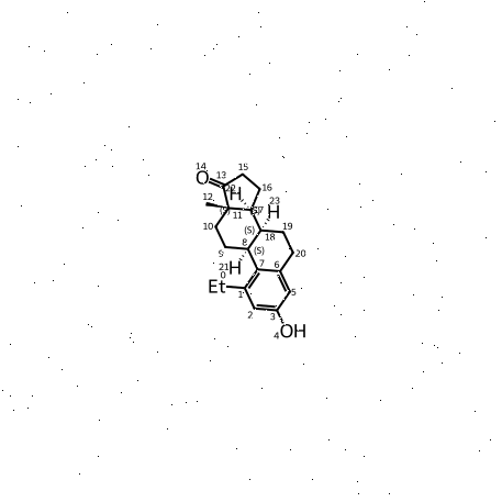 CCc1cc(O)cc2c1[C@H]1CC[C@]3(C)C(=O)CC[C@H]3[C@H]1CC2